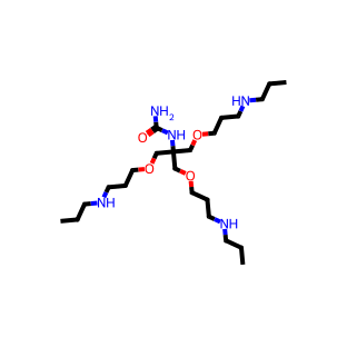 CCCNCCCOCC(COCCCNCCC)(COCCCNCCC)NC(N)=O